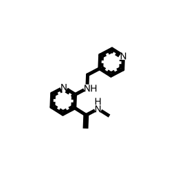 C=C(NC)c1cccnc1NCc1ccncc1